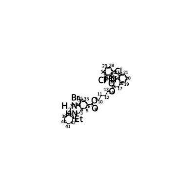 CCC1(NCc2cc(C(=O)OCCCCOC(=O)Cc3ccccc3Nc3c(Cl)cccc3Cl)cc(Br)c2N)CCCCC1